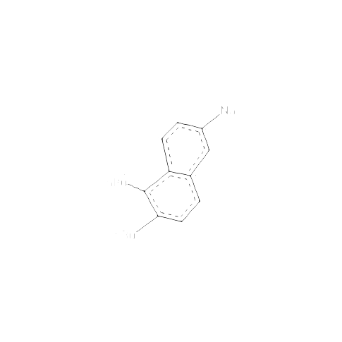 CCCCc1ccc2c[c]([Na])ccc2c1CCCC